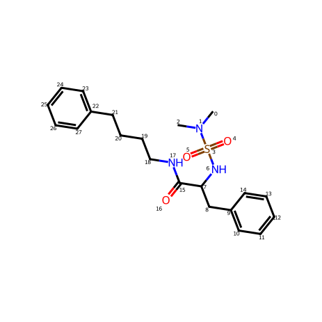 CN(C)S(=O)(=O)NC(Cc1cc[c]cc1)C(=O)NCCCCc1ccccc1